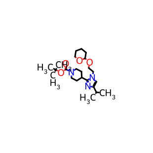 CC(C)c1cn(CCOC2CCCCO2)c(C2CCN(C(=O)OC(C)(C)C)CC2)n1